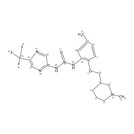 Cc1ccc(OCC2CCCN(C)C2)c(NC(=O)Nc2cnc(C(F)(F)F)cn2)c1